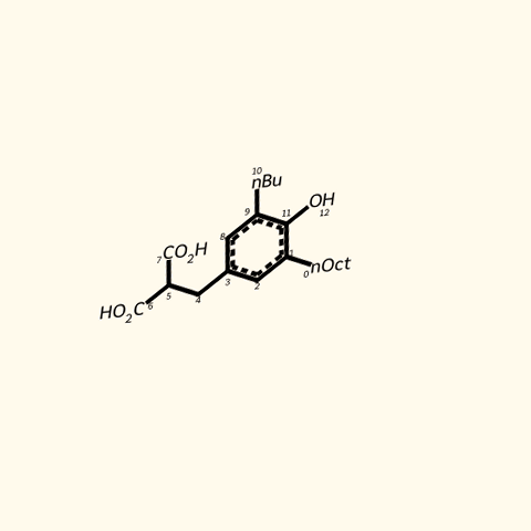 CCCCCCCCc1cc(CC(C(=O)O)C(=O)O)cc(CCCC)c1O